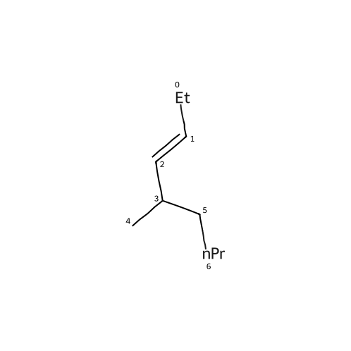 CCC=CC(C)CCCC